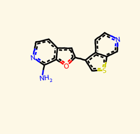 Nc1nccc2cc(-c3csc4cnccc34)oc12